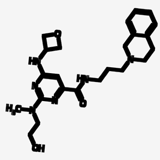 CN(CCO)c1nc(NC2COC2)cc(C(=O)NCCCN2CCc3ccccc3C2)n1